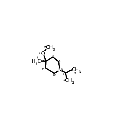 COC1(C)CCN(C(C)C)CC1